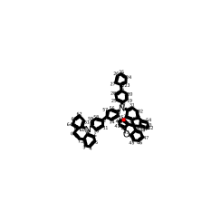 C1=Cc2ccccc2N(c2ccc(-c3ccc(N(c4ccc(-c5ccccc5)cc4)c4ccc5c(c4)C4(c6ccccc6Oc6ccccc64)c4ccccc4-5)cc3)cc2)c2ccccc21